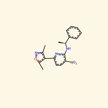 Cc1noc(C)c1-c1ccc([N+](=O)[O-])c(N[C@@H](C)c2ccccc2)n1